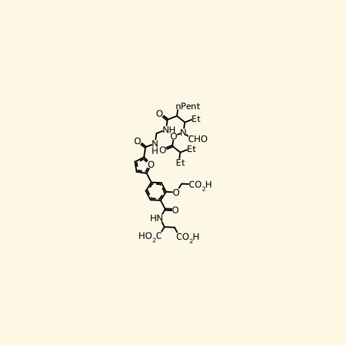 CCCCCC(C(=O)NCNC(=O)c1ccc(-c2ccc(C(=O)NC(CC(=O)O)C(=O)O)c(OCC(=O)O)c2)o1)C(CC)N(C=O)OC(=O)C(CC)CC